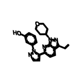 CCc1nn(C2CCOCC2)c2nc(-c3ccnn3-c3cccc(O)c3)ccc12